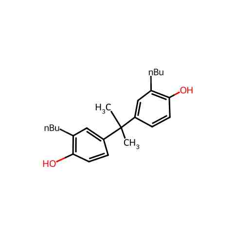 CCCCc1cc(C(C)(C)c2ccc(O)c(CCCC)c2)ccc1O